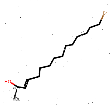 CCCC[C@@H](O)C=CCCCCCCCCCCCBr